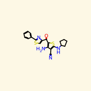 N#Cc1c(NC2CCCC2)sc(C(=O)c2csc(-c3ccccc3)n2)c1N